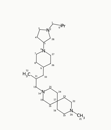 CC(C)CN1CCC(N2CCC(CC(C)CN3CCC4(CCN(C)CC4)CC3)CC2)C1